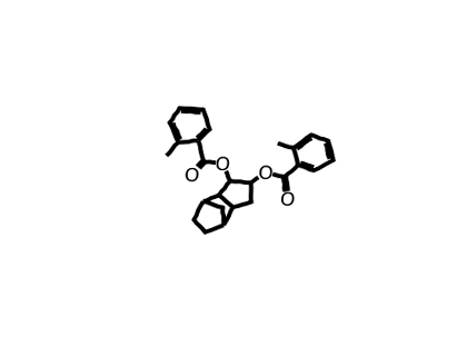 Cc1ccccc1C(=O)OC1CC2C3CCC(C3)C2C1OC(=O)c1ccccc1C